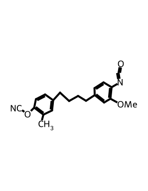 COc1cc(CCCCc2ccc(OC#N)c(C)c2)ccc1N=C=O